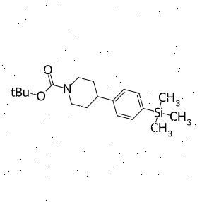 CC(C)(C)OC(=O)N1CCC(c2ccc([Si](C)(C)C)cc2)CC1